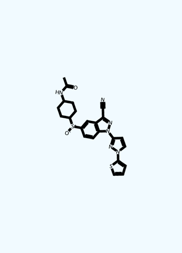 CC(=O)NC1CCC([S+]([O-])c2ccc3c(c2)c(C#N)nn3-c2ccn(-c3cccs3)n2)CC1